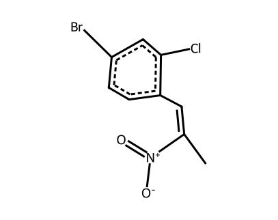 CC(=Cc1ccc(Br)cc1Cl)[N+](=O)[O-]